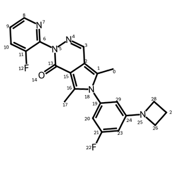 Cc1c2cnn(-c3ncccc3F)c(=O)c2c(C)n1-c1cc(F)cc(N2CCC2)c1